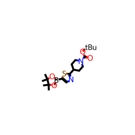 CC(C)(C)OC(=O)N1CCC(c2ncc(B3OC(C)(C)C(C)(C)O3)s2)CC1